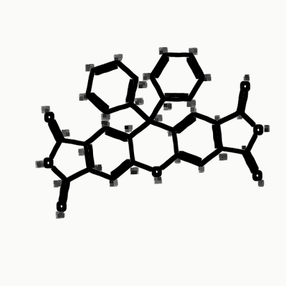 O=C1OC(=O)c2cc3c(cc21)Oc1cc2c(cc1C3(c1ccccc1)c1ccccc1)C(=O)OC2=O